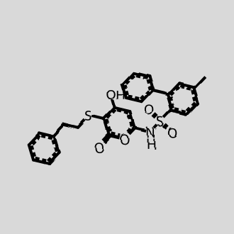 Cc1ccc(S(=O)(=O)Nc2cc(O)c(SCCc3ccccc3)c(=O)o2)c(-c2ccccc2)c1